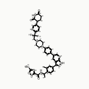 Cc1cc(-c2n[nH]c3ncc(-c4ccc(N5CCN(CC(F)(F)c6ccc(C7CCC(=O)NC7=O)cn6)CC5)cc4)cc23)ccc1C(C)NC(=O)c1noc(C(C)(C)C)n1